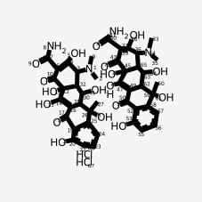 CN(C)C1C(O)=C(C(N)=O)C(=O)C2(O)C(O)=C3C(=O)c4c(O)cccc4C(C)(O)C3C(O)C12.CN(C)C1C(O)=C(C(N)=O)C(=O)C2(O)C(O)=C3C(=O)c4c(O)cccc4C(C)(O)C3C(O)C12.Cl.Cl